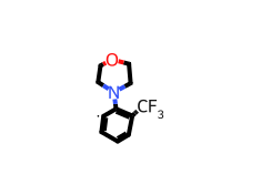 FC(F)(F)c1ccc[c]c1N1CCOCC1